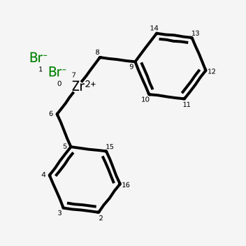 [Br-].[Br-].c1ccc([CH2][Zr+2][CH2]c2ccccc2)cc1